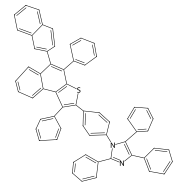 c1ccc(-c2nc(-c3ccccc3)n(-c3ccc(-c4sc5c(-c6ccccc6)c(-c6ccc7ccccc7c6)c6ccccc6c5c4-c4ccccc4)cc3)c2-c2ccccc2)cc1